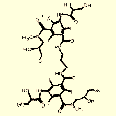 Cc1c(NC(=O)C(O)CO)c(I)c(C(=O)NCCCNC(=O)c2c(I)c(NC(=O)C(O)CO)c(I)c(C(=O)N(C)CC(O)CO)c2I)c(I)c1C(=O)N(C)CC(O)CO